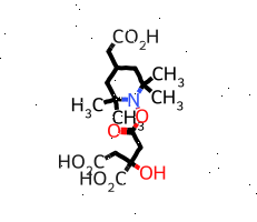 CC1(C)CC(CC(=O)O)CC(C)(C)N1OC(=O)CC(O)(CC(=O)O)C(=O)O